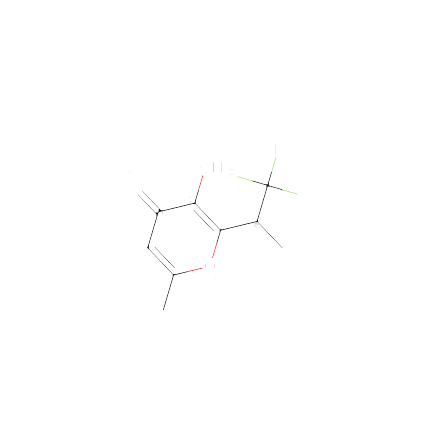 Cc1cc(=O)c(O)c(C(C)C(F)(F)F)o1